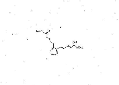 CCCCCCCCC(O)C=CC=Cc1ccccc1CCCCC(=O)OC